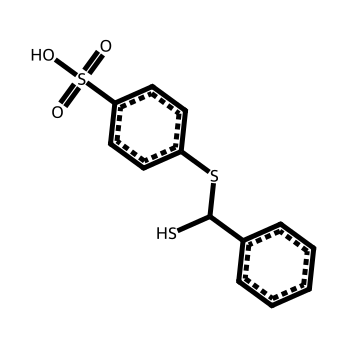 O=S(=O)(O)c1ccc(SC(S)c2ccccc2)cc1